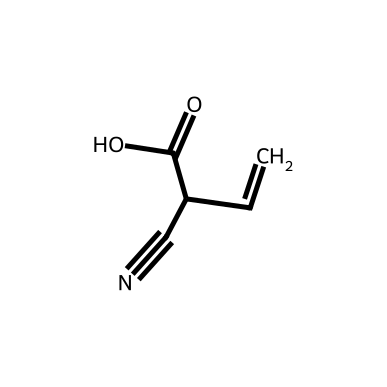 C=CC(C#N)C(=O)O